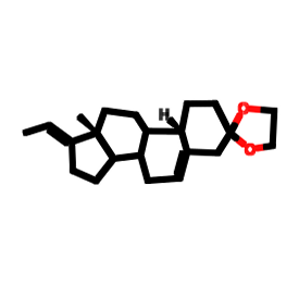 CC=C1CCC2C3CC=C4CC5(CC[C@H]4C3CC[C@@]12C)OCCO5